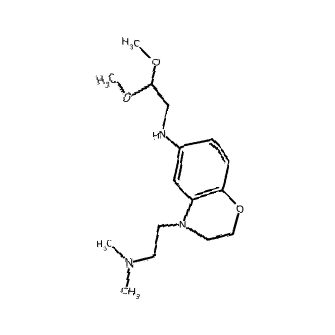 COC(CNc1ccc2c(c1)N(CCN(C)C)CCO2)OC